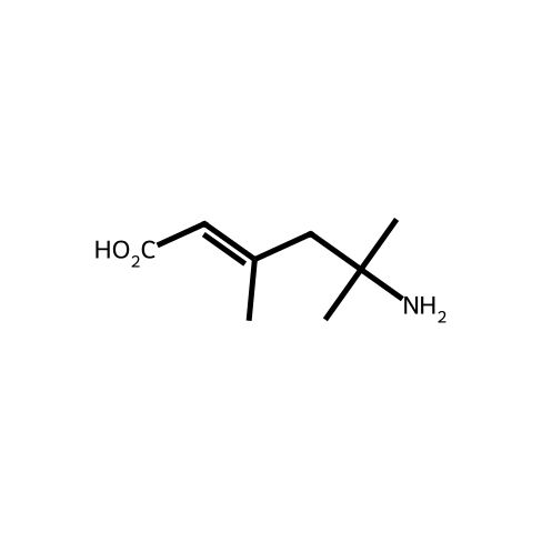 C/C(=C\C(=O)O)CC(C)(C)N